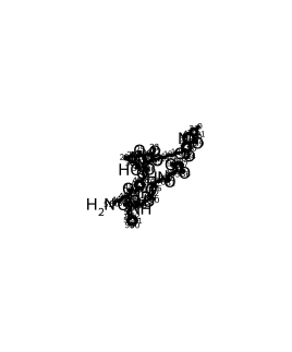 C=C1CC2C=Nc3cc(OCCCCCOc4cc5c(cc4OC)C(=O)N4CC(=C)CC4C(O)N5C(=O)OCc4ccc(NC(=O)C(CCCCN)NC(=O)C(Cc5ccccc5)NC(=O)CCOC(C)(C)COC(C)(C)CCNC(=O)CCN5C(=O)C=CC5=O)cc4)c(OC)cc3C(=O)N2C1